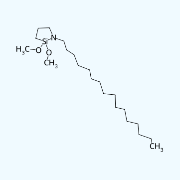 CCCCCCCCCCCCCCCCN1CCC[Si]1(OC)OC